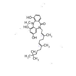 C/C(=C\CN1C(=O)c2cccc(O)c2N(C)c2c(O)cc(O)cc21)CC/C=C(\C)CCCC(C)(C)C